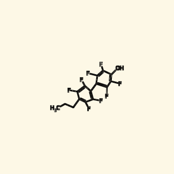 CCCc1c(F)c(F)c(-c2c(F)c(F)c(O)c(F)c2F)c(F)c1F